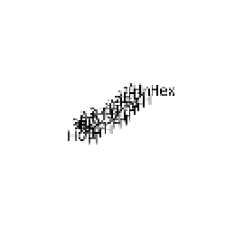 [2H]/C(=C(/[2H])[C@@]([2H])(O)[C@@]([2H])(N([2H])[2H])C([2H])([2H])O)C([2H])([2H])C([2H])([2H])C([2H])([2H])C([2H])([2H])C([2H])([2H])C([2H])([2H])C([2H])([2H])CCCCCC